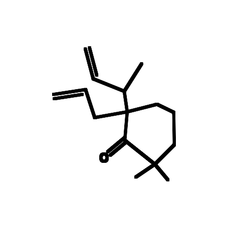 C=CCC1(C(C)C=C)CCCC(C)(C)C1=O